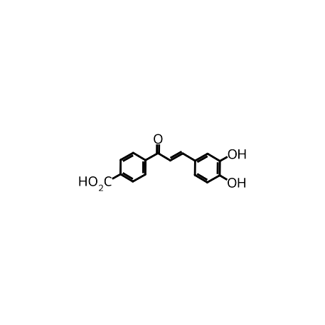 O=C(O)c1ccc(C(=O)/C=C/c2ccc(O)c(O)c2)cc1